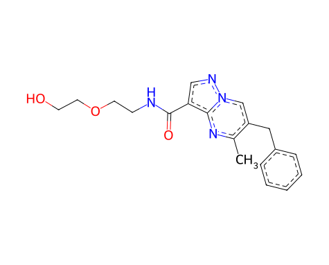 Cc1nc2c(C(=O)NCCOCCO)cnn2cc1Cc1ccccc1